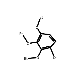 CCOc1ccc([O])c(OCC)c1OCC